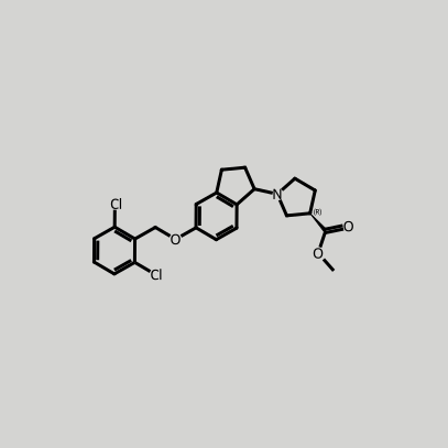 COC(=O)[C@@H]1CCN(C2CCc3cc(OCc4c(Cl)cccc4Cl)ccc32)C1